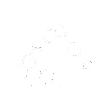 Cc1cc2nc(-c3ccc4c(c3)c(C3CCN(C5COC5)CC3)nn4CC(F)(F)F)sc2c(-c2ccc(Cl)cc2)c1C(OC(C)(C)C)C(=O)O